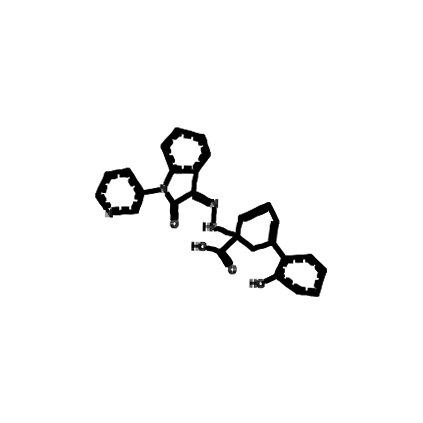 O=C1C(=NNC2(C(=O)O)C=CC=C(c3ccccc3O)C2)c2ccccc2N1c1cccnc1